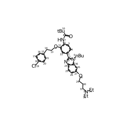 CCCCn1c(-c2ccc(NC(=O)C(C)(C)C)c(OCCc3ccc(Cl)cc3)c2)nc2ccc(OCCCN(CC)CC)cc21